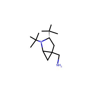 CC(C)(C)[C@@H]1CC2(CN)CC2N1C(C)(C)C